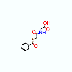 O=C(O)CNC(=O)CSC(=O)c1ccccc1